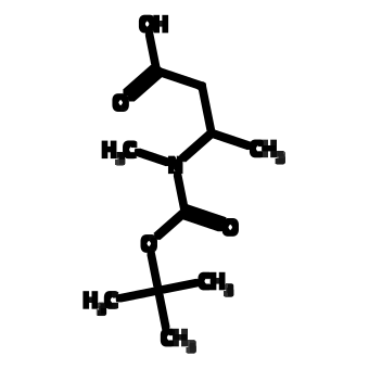 CC(CC(=O)O)N(C)C(=O)OC(C)(C)C